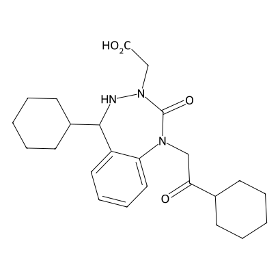 O=C(O)CN1NC(C2CCCCC2)c2ccccc2N(CC(=O)C2CCCCC2)C1=O